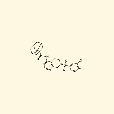 Cc1ccc(S(=O)(=O)N2CCc3c(ncnc3NC(=O)C34CC5CC(CC(C5)C3)C4)C2)cc1Cl